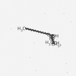 CCCCCCCCCCCCCCCCCCCCOC[C@H](CO)OP(=O)([O-])OCC[N+](C)(C)C